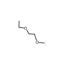 [C]OCCOCC